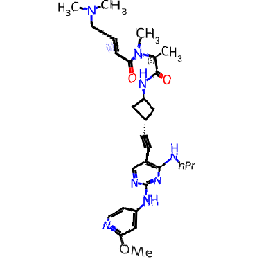 CCCNc1nc(Nc2ccnc(OC)c2)ncc1C#C[C@H]1C[C@H](NC(=O)[C@H](C)N(C)C(=O)/C=C/CN(C)C)C1